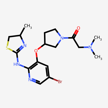 CC1CSC(Nc2ncc(Br)cc2OC2CCN(C(=O)CN(C)C)C2)=N1